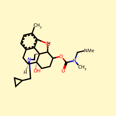 CNCN(C)C(=O)OC1CC[C@@]2(O)[C@H]3Cc4ccc(C)c5c4[C@@]2(CCN3CC2CC2)[C@H]1O5